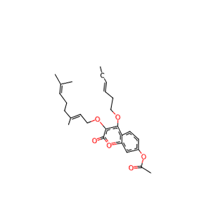 CC/C=C/CCOc1c(OC/C=C(\C)CCC=C(C)C)c(=O)oc2cc(OC(C)=O)ccc12